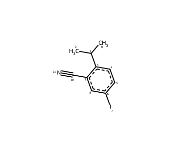 CC(C)c1ccc(I)cc1C#N